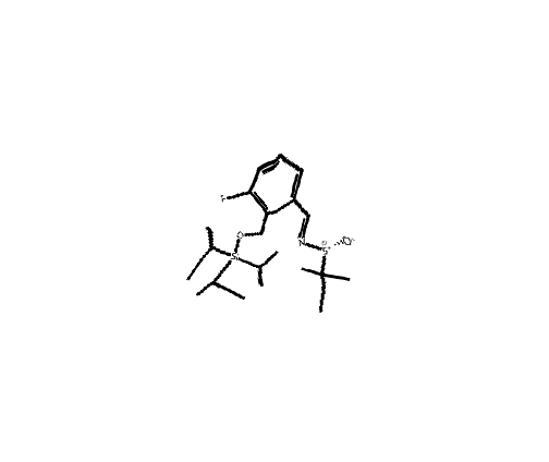 CC(C)[Si](OCc1c(F)cccc1C=N[S@+]([O-])C(C)(C)C)(C(C)C)C(C)C